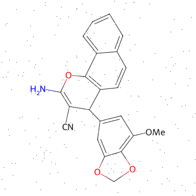 COc1cc(C2C(C#N)=C(N)Oc3c2ccc2ccccc32)cc2c1OCO2